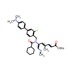 C=N\C=C(/C=C(C)/C=C/C(=O)OC)N(Cc1ccc(-c2ccc(N(C)C)cc2)cc1F)C(=O)C1CCCCC1